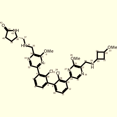 COc1nc(-c2cccc(-c3cccc(-c4cnc(CNC5CC(OC)C5)c(OC)n4)c3Cl)c2Cl)cnc1CNC[C@@H]1CCC(=O)N1